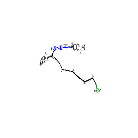 CC(C)(C)C(CCCCBr)NC(=O)O